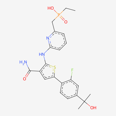 CCP(=O)(O)Cc1cccc(Nc2sc(-c3ccc(C(C)(C)O)cc3F)cc2C(N)=O)n1